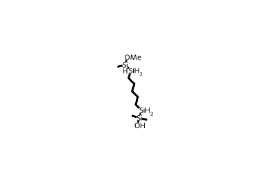 CO[SiH](C)[SiH2]CCCCC[SiH2][Si](C)(C)O